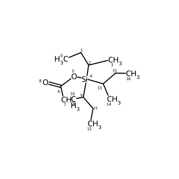 CCC(C)[Si](OC(C)=O)(C(C)CC)C(C)CC